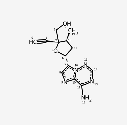 C#C[C@]1(CO)O[C@@H](c2cnc3c(N)ncnn23)C[C@@H]1C